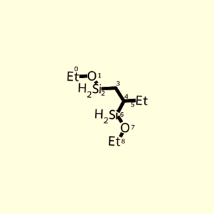 CCO[SiH2]CC(CC)[SiH2]OCC